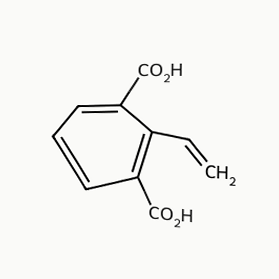 C=Cc1c(C(=O)O)cccc1C(=O)O